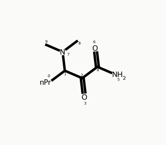 CCCC(C(=O)C(N)=O)N(C)C